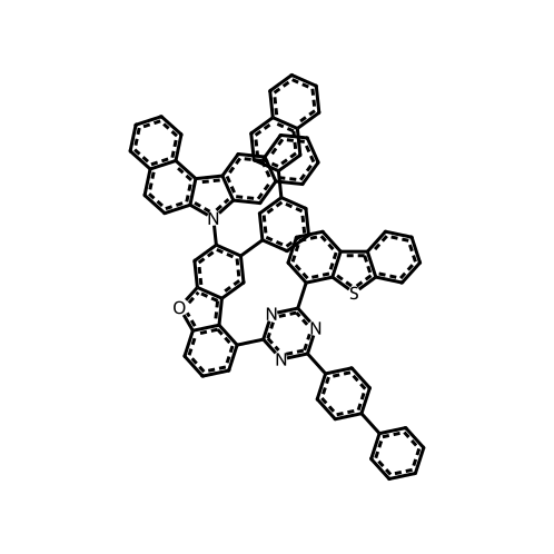 c1ccc(-c2ccc(-c3nc(-c4cccc5c4sc4ccccc45)nc(-c4cccc5oc6cc(-n7c8cc9ccccc9cc8c8c9ccccc9ccc87)c(-c7cccc(-c8ccc9ccccc9c8)c7)cc6c45)n3)cc2)cc1